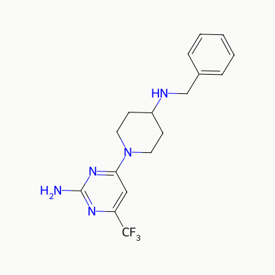 Nc1nc(N2CCC(NCc3ccccc3)CC2)cc(C(F)(F)F)n1